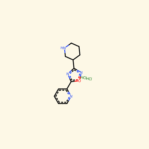 Cl.Cl.c1ccc(-c2nc(C3CCCNC3)no2)nc1